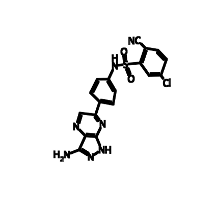 N#Cc1ccc(Cl)cc1S(=O)(=O)Nc1ccc(-c2cnc3c(N)n[nH]c3n2)cc1